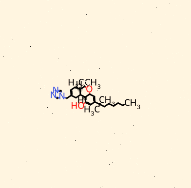 CCCCCCC(C)(C)C1=CC2OC(C)(C)[C@H]3CC=C(Cn4cnnc4)CC3[C@@H]2C(O)=C1